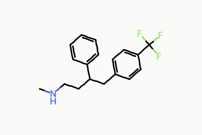 CNCCC(Cc1ccc(C(F)(F)F)cc1)c1ccccc1